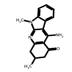 CC1CC(=O)c2c(nc3c(c2N)c2ccccc2n3C)C1